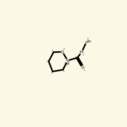 CC[CH2][Pt][C](=O)[SiH]1CCCCO1